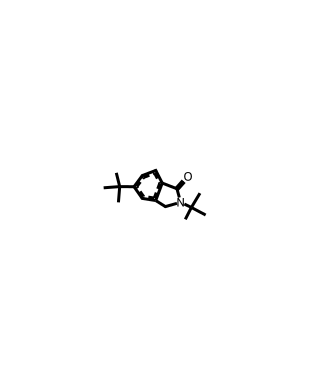 CC(C)(C)c1ccc2c(c1)CN(C(C)(C)C)C2=O